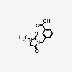 CN1CC(=O)N(Cc2cccc(C(=O)O)c2)C1=O